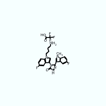 Cn1cc(-c2n[nH]c(=O)n2-c2cn(CCCCN)c3ccc(F)cc23)c2cc(F)ccc21.O=C(O)C(F)(F)F